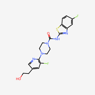 O=C(Nc1nc2cc(F)ccc2s1)N1CCN(c2ncc(CCO)cc2F)CC1